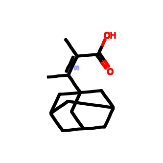 C/C(C(=O)O)=C(\C)C12CC3CC(CC(C3)C1)C2